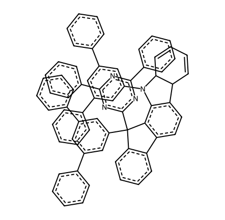 C1=CC2c3ccc4c(c3N(c3cc(-c5ccccc5)cc(-c5ccccc5)c3)C2C=C1)C(c1cc(-c2ccccc2)cc(-c2ccccc2)c1)(c1nc(-c2ccccc2)nc(-c2ccccc2)n1)c1ccccc1-4